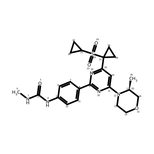 CNC(=O)Nc1ccc(-c2nc(N3CCOC[C@@H]3C)cc(C3(S(=O)(=O)C4CC4)CC3)n2)cc1